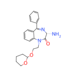 N[C@H]1N=C(c2ccccc2)c2ccccc2N(CCOC2CCCCO2)C1=O